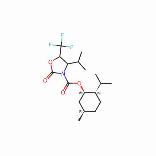 CC(C)C1C(C(F)(F)F)OC(=O)N1C(=O)O[C@@H]1C[C@H](C)CC[C@H]1C(C)C